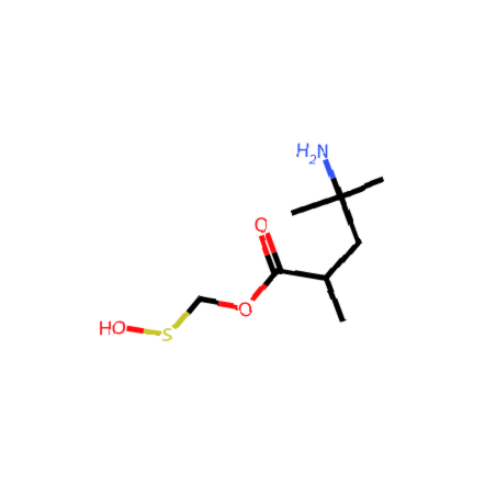 CC(CC(C)(C)N)C(=O)OCSO